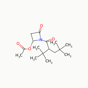 CC(=O)OC1CC(=O)N1C(=O)C(CC(C)(C)C)C(C)(C)C